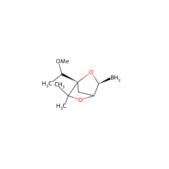 B[C@@H]1O[C@]2(C(C)OC)CC1OC2(C)C